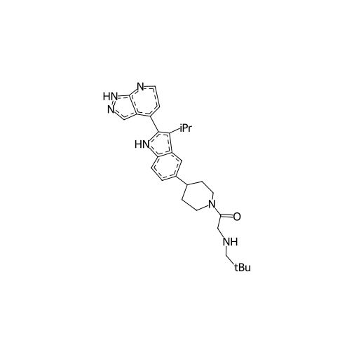 CC(C)c1c(-c2ccnc3[nH]ncc23)[nH]c2ccc(C3CCN(C(=O)CNCC(C)(C)C)CC3)cc12